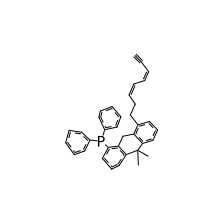 C#C/C=C\C=C/CCc1cccc2c1Cc1c(P(c3ccccc3)c3ccccc3)cccc1C2(C)C